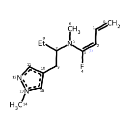 C=C/C=C(/F)N(C)C(CC)Cc1cnn(C)c1